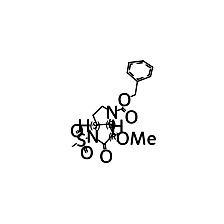 CO[C@H]1C(=O)N(S(C)(=O)=O)[C@H]2CCN(C(=O)OCc3ccccc3)[C@H]12